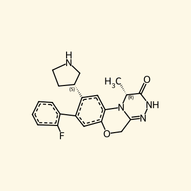 C[C@@H]1C(=O)NN=C2COc3cc(-c4ccccc4F)c([C@@H]4CCNC4)cc3N21